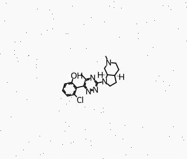 Cc1nc(N2CC[C@@H]3CCN(C)C[C@@H]32)nnc1-c1c(O)cccc1Cl